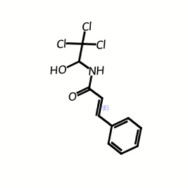 O=C(/C=C/c1ccccc1)NC(O)C(Cl)(Cl)Cl